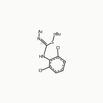 CCCCS/C(=N\C(C)=O)Nc1c(Cl)cccc1Cl